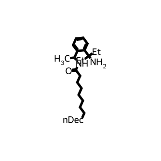 CCCCCCCCCCCCCCCCCC(=O)NC(C)c1ccccc1C(N)(CC)CC